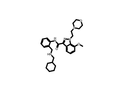 COc1cccc2c(C(=O)Nc3ccccc3CNCC3CCCCC3)nn(CCN3CCOCC3)c12